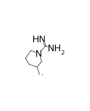 [CH2]C1CCCN(C(=N)N)C1